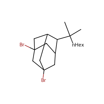 CCCCCCC(C)(C)C1C2CC3(Br)CC1CC(Br)(C2)C3